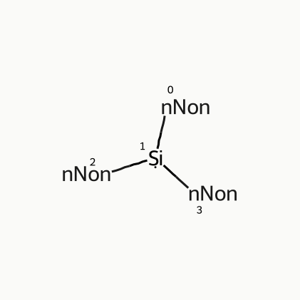 CCCCCCCCC[Si](CCCCCCCCC)CCCCCCCCC